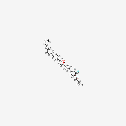 C=CCCC1CCC(C2CCC(C3CCC(C4CCC(c5ccc(OCCC)c(F)c5F)CC4)OC3)CC2)CC1